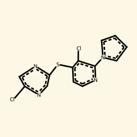 Clc1cnc(Sc2ccnc(-n3cccc3)c2Cl)cn1